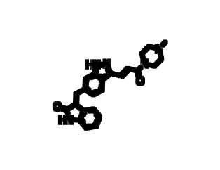 CN1CCN(C(=O)/C=C/c2n[nH]c3cc(/C=C4/C(=O)Nc5ccccc54)ccc23)CC1